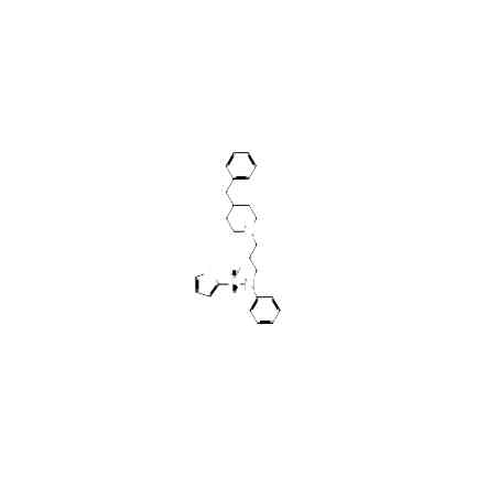 O=S(=O)(c1cccs1)N(CCCN1CCC(Cc2ccccc2)CC1)c1ccccc1